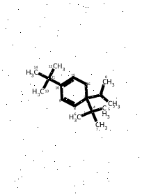 CC(C)C1(C(C)(C)C)C=CC(C(C)(C)C)=CC1